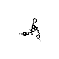 CN1CCN(CCCc2cc3cc(CN4CCOCC4)cc4c(=O)c(C(=O)NCc5ccc(Cl)cc5)cn2c34)CC1